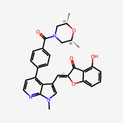 C[C@@H]1CN(C(=O)c2ccc(-c3ccnc4c3c(/C=C3\Oc5cccc(O)c5C3=O)cn4C)cc2)C[C@H](C)O1